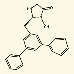 CN1C(=O)CN[C@@H]1Cc1cc(-c2ccccc2)cc(-c2ccccc2)c1